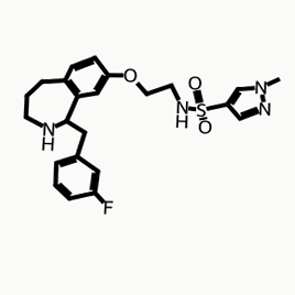 Cn1cc(S(=O)(=O)NCCOc2ccc3c(c2)C(Cc2cccc(F)c2)NCCC3)cn1